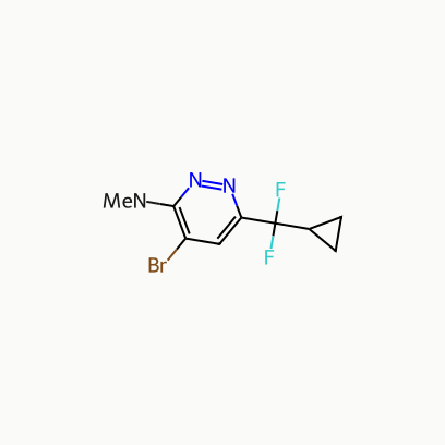 CNc1nnc(C(F)(F)C2CC2)cc1Br